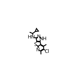 Cc1nc2sc3c(NC(C)C4CC4)n[nH]c3c2c(C)c1Cl